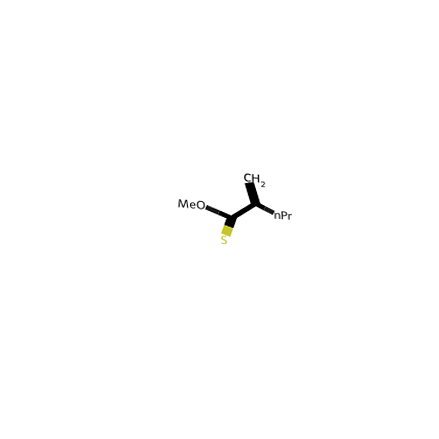 C=C(CCC)C(=S)OC